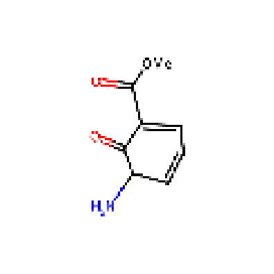 COC(=O)C1=CC=CC(N)C1=O